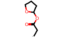 [CH2]CC(=O)OC1CCCO1